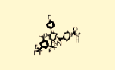 CNC(=O)N1CCC(c2nnc3n2C[C@H](c2ccc(F)cc2)[C@@H](O[C@H](C)c2cc(C(F)(F)F)cc(C(F)(F)F)c2)C3)CC1